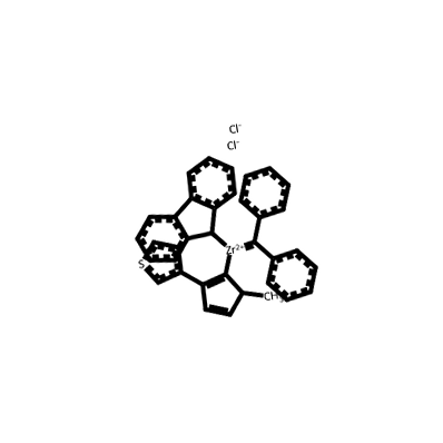 CC1C=CC(c2ccsc2)=[C]1[Zr+2](=[C](c1ccccc1)c1ccccc1)[CH]1c2ccccc2-c2ccccc21.[Cl-].[Cl-]